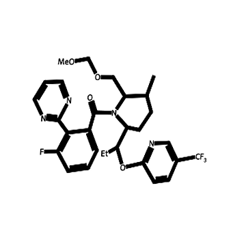 CCC(Oc1ccc(C(F)(F)F)cn1)C1CCC(C)C(COCOC)N1C(=O)c1cccc(F)c1-c1ncccn1